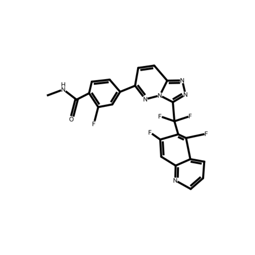 CNC(=O)c1ccc(-c2ccc3nnc(C(F)(F)c4c(F)cc5ncccc5c4F)n3n2)cc1F